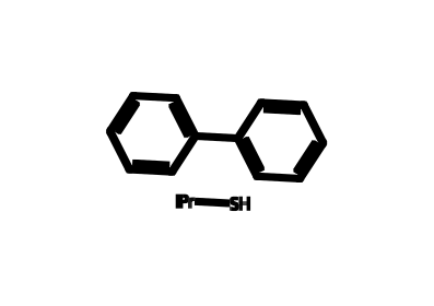 CC(C)S.c1ccc(-c2ccccc2)cc1